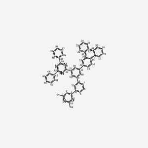 Cc1cc(-c2cccc(-c3cc(-c4ccc5c6ccccc6c6ccccc6c5c4)cc(-c4nc(-c5ccccc5)nc(-c5ccccc5)n4)c3)c2)nc(C)n1